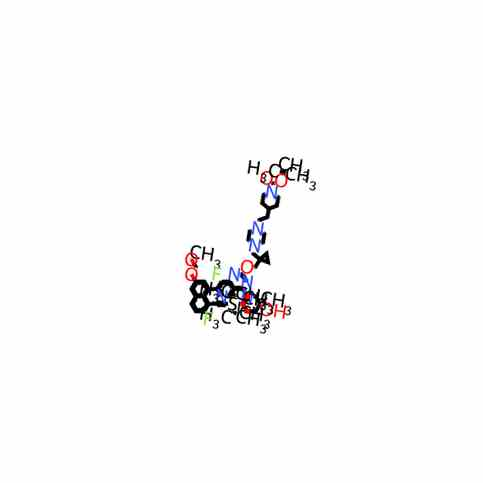 COCOc1cc(-c2ncc3c(N4CCC[C@@](C)(O)C4)nc(OCC4(CN5CCN(CCC6CCN(C(=O)OC(C)(C)C)CC6)CC5)CC4)nc3c2F)c2c(C#C[Si](C(C)C)(C(C)C)C(C)C)c(F)ccc2c1